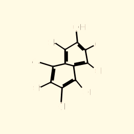 Oc1c(Cl)c(Cl)c2c(O)c(Cl)c(Cl)c(Cl)c2c1Cl